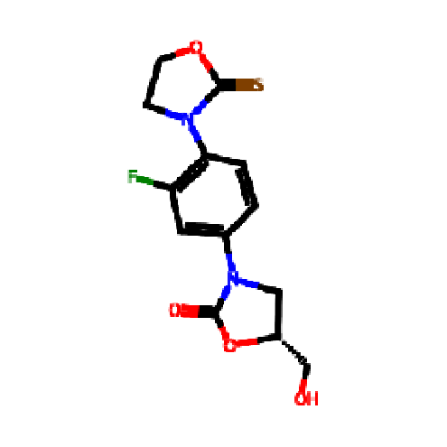 O=C1O[C@@H](CO)CN1c1ccc(N2CCOC2=S)c(F)c1